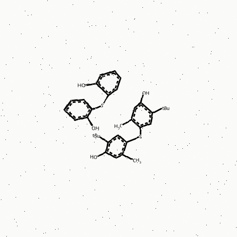 Cc1cc(O)c(C(C)(C)C)cc1Sc1cc(C(C)(C)C)c(O)cc1C.Oc1ccccc1Sc1ccccc1O